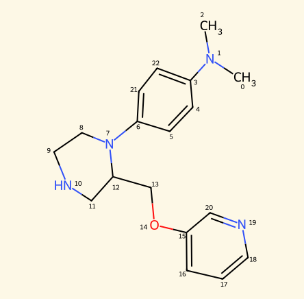 CN(C)c1ccc(N2CCNCC2COc2cccnc2)cc1